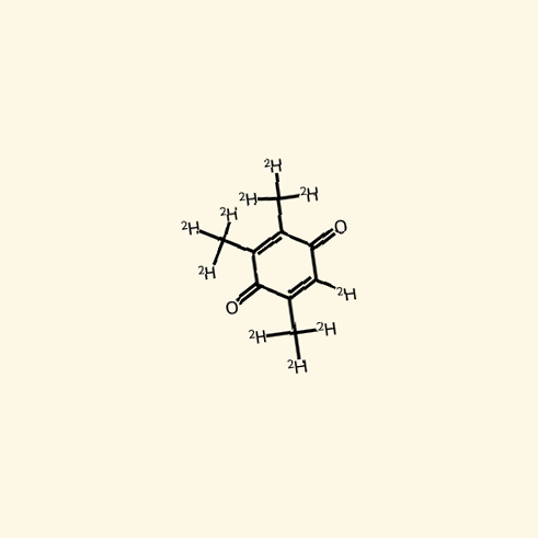 [2H]C1=C(C([2H])([2H])[2H])C(=O)C(C([2H])([2H])[2H])=C(C([2H])([2H])[2H])C1=O